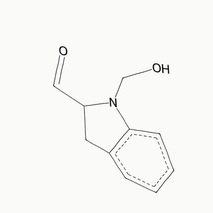 O=CC1Cc2ccccc2N1CO